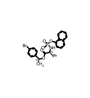 CC(C)[C@H](NP(=O)(Cl)Oc1cccc2ccccc12)C(=O)O[C@@H](C)c1ccc(Br)cc1